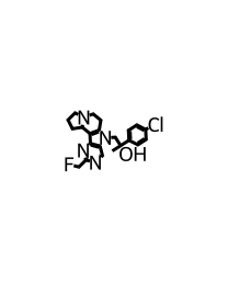 CC(O)(Cn1c2c(c3nc(CF)ncc31)C1CCCN1CC2)c1ccc(Cl)cc1